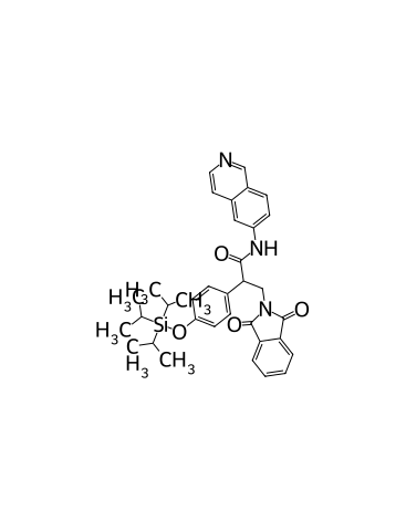 CC(C)[Si](Oc1ccc(C(CN2C(=O)c3ccccc3C2=O)C(=O)Nc2ccc3cnccc3c2)cc1)(C(C)C)C(C)C